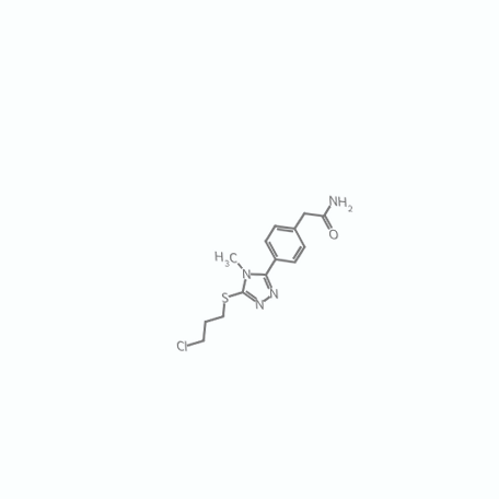 Cn1c(SCCCCl)nnc1-c1ccc(CC(N)=O)cc1